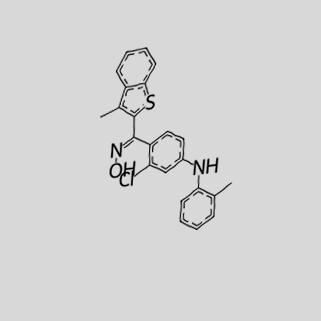 Cc1ccccc1Nc1ccc(C(=NO)c2sc3ccccc3c2C)c(Cl)c1